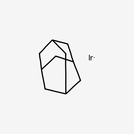 C1C2CC3CC1CC(C2)C3.[Ir]